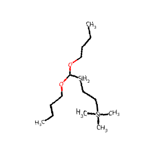 CCCCOC(OCCCC)[SiH2]CC[Si](C)(C)C